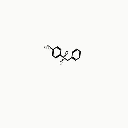 CCCc1ccc(S(=O)(=O)Cc2ccccc2)cc1